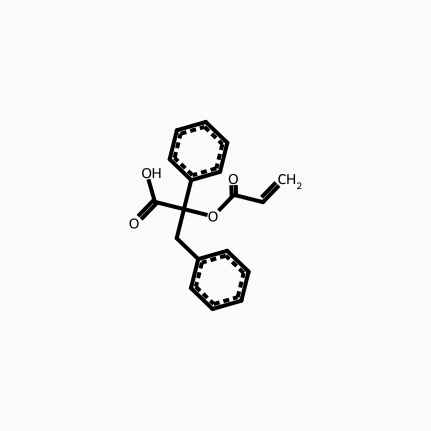 C=CC(=O)OC(Cc1ccccc1)(C(=O)O)c1ccccc1